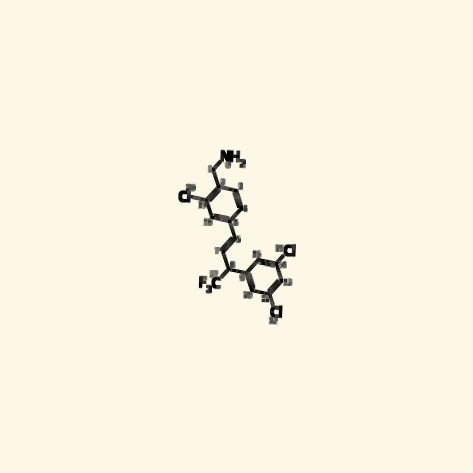 NCc1ccc(C=CC(c2cc(Cl)cc(Cl)c2)C(F)(F)F)cc1Cl